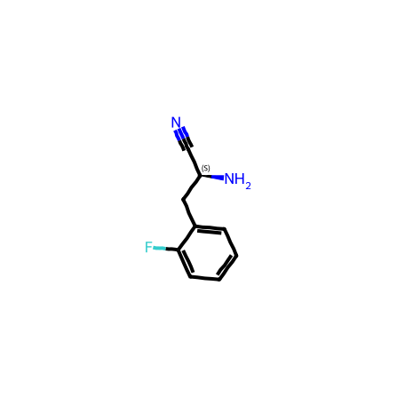 N#C[C@@H](N)Cc1ccccc1F